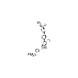 Cc1ccc(Cc2cc3cc(-c4ccc(N5CCN(C(=O)OC(C)(C)C)CC5)cc4)c(Cl)cc3[nH]2)cc1C(=O)O